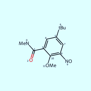 CNC(=O)c1cc(C(C)(C)C)cc(N=O)c1OC